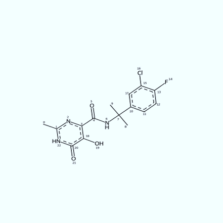 Cc1nc(C(=O)NC(C)(C)c2ccc(F)c(Cl)c2)c(O)c(=O)[nH]1